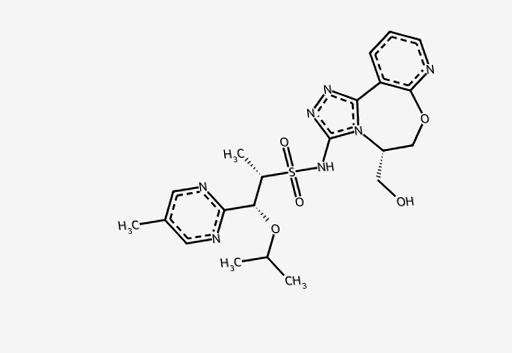 Cc1cnc([C@@H](OC(C)C)[C@H](C)S(=O)(=O)Nc2nnc3n2[C@@H](CO)COc2ncccc2-3)nc1